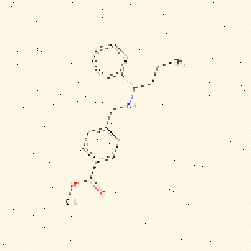 CCCC(NCc1ccc(C(=O)OC)cc1)c1ccccc1